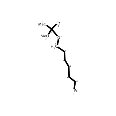 CCC(OC)(OC)O[SiH2]CCCCCC(C)C